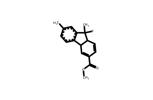 COC(=O)C1=CC2c3ccc(C)cc3C(C)(F)C2C=C1